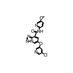 COc1ccc(NC(=O)c2cc(Oc3cncc(Cl)c3)cn3ncnc23)nc1